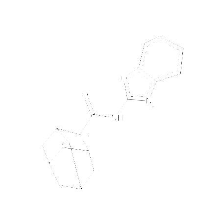 O=C(Nc1nc2ccccc2o1)C1C2CC3CC(C2)CC1C3